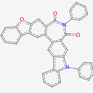 O=c1c2cc3oc4ccccc4c3cc2c2cc3c4ccccc4n(-c4ccccc4)c3cc2c(=O)n1-c1ccccc1